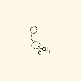 CP1(=O)CCN(Cc2ccccc2)CC1